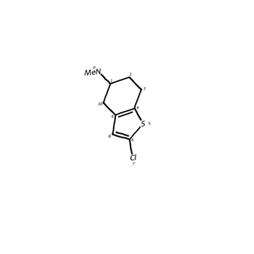 CNC1CCc2sc(Cl)cc2C1